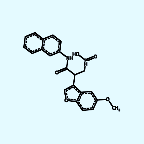 COc1ccc2occ(C(C[PH](=O)O)C(=O)Nc3ccc4ccccc4c3)c2c1